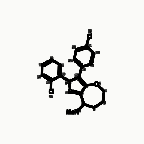 CNC1CCCOc2c1nn(-c1ccccc1Cl)c2-c1ccc(Cl)cc1